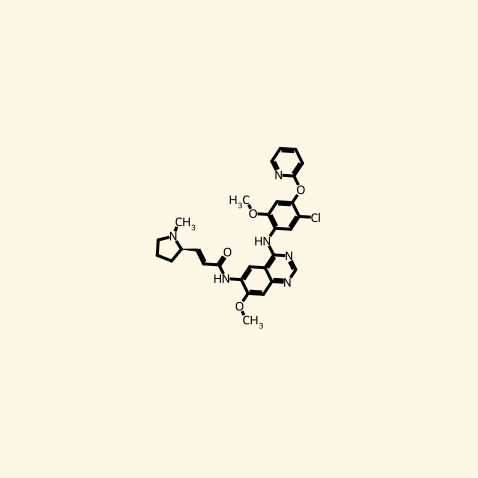 COc1cc2ncnc(Nc3cc(Cl)c(Oc4ccccn4)cc3OC)c2cc1NC(=O)/C=C/[C@H]1CCCN1C